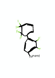 CCCCCc1ccc(C2=CC=CC(F)(F)C2(F)F)c(F)c1F